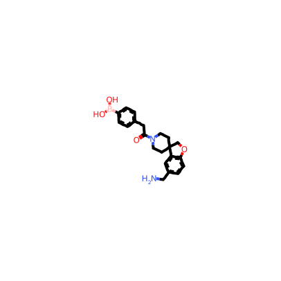 NCc1ccc2c(c1)C1(CCN(C(=O)Cc3ccc(B(O)O)cc3)CC1)CO2